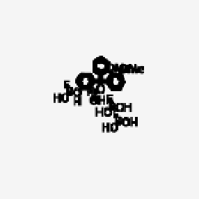 COc1cccc(C(OB(O)F)(c2ccccc2)c2ccccc2)c1OC.OB(O)F.OB(O)F.OB(O)F